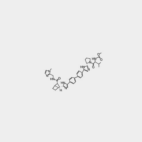 COC(=O)N[C@H](C(=O)N1CCC[C@H]1c1ncc(-c2ccc(-c3ccc(-c4cnc([C@H]5[C@H](C(=O)NCc6nccn6C)C6CC[C@@H]65)[nH]4)cc3)cc2)[nH]1)C(C)C